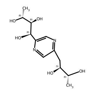 C[C@@H](O)[C@@H](O)[C@H](O)c1cnc(C[C@H](O)[C@@H](C)O)cn1